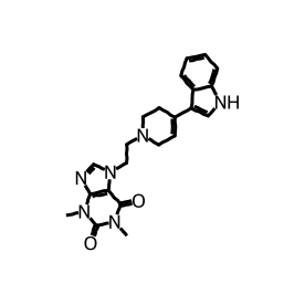 Cn1c(=O)c2c(ncn2CCN2CC=C(c3c[nH]c4ccccc34)CC2)n(C)c1=O